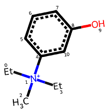 CC[N+](C)(CC)c1cccc(O)c1